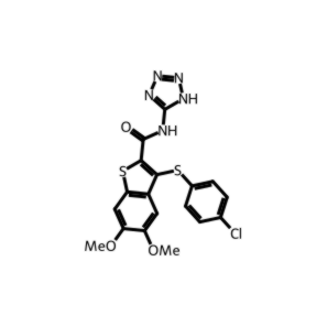 COc1cc2sc(C(=O)Nc3nnn[nH]3)c(Sc3ccc(Cl)cc3)c2cc1OC